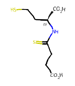 O=C(O)CCC(=S)N[C@@H](CCS)C(=O)O